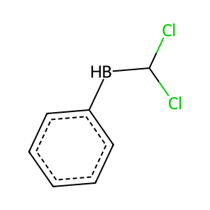 ClC(Cl)Bc1ccccc1